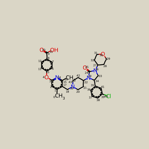 Cc1cc(Oc2ccc(C(=O)O)cc2)nc(C)c1CN1CCC(N2C(=O)N(C3CCOCC3)CC2c2cccc(Cl)c2)CC1